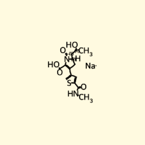 CNC(=O)c1cc(C2=C(C(=O)O)N3C(=O)[C@H]([C@@H](C)O)[C@H]3C2)cs1.[Na]